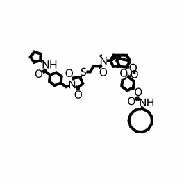 CN(C(=O)CCSC1CC(=O)N(CC2CCC(C(=O)NC3CCCC3)CC2)C1=O)C12CC3CC(C1)C1(OO[C@@]4(CCCC(OC(=O)NC5CCCCCCCCCC5)C4)O1)C(C3)C2